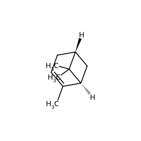 CC1=CC[C@@H]2C[C@@H]1C2(C)C